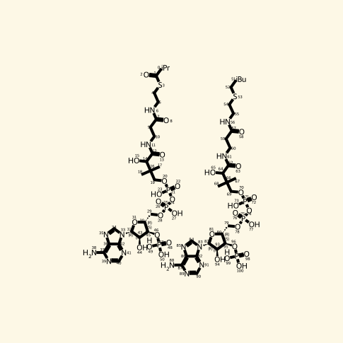 CC(C)C(=O)SCCNC(=O)CCNC(=O)C(O)C(C)(C)COP(=O)(O)OP(=O)(O)OC[C@H]1O[C@@H](n2cnc3c(N)ncnc32)[C@H](O)[C@@H]1OP(=O)(O)O.CCC(C)CSCCNC(=O)CCNC(=O)C(O)C(C)(C)COP(=O)(O)OP(=O)(O)OC[C@H]1O[C@@H](n2cnc3c(N)ncnc32)[C@H](O)[C@@H]1OP(=O)(O)O